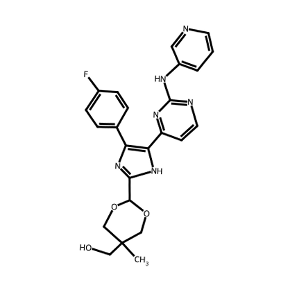 CC1(CO)COC(c2nc(-c3ccc(F)cc3)c(-c3ccnc(Nc4cccnc4)n3)[nH]2)OC1